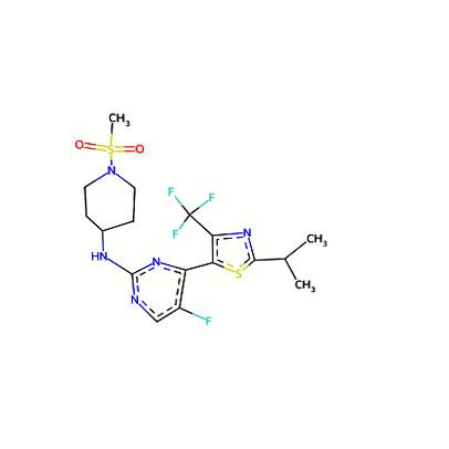 CC(C)c1nc(C(F)(F)F)c(-c2nc(NC3CCN(S(C)(=O)=O)CC3)ncc2F)s1